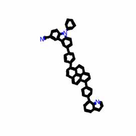 N#Cc1ccc2c(c1)c1cc(-c3ccc(-c4ccc5ccc6c(-c7ccc(-c8cccc9cccnc89)cc7)ccc7ccc4c5c76)cc3)ccc1n2-c1ccccc1